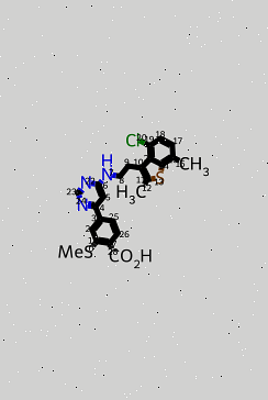 CSc1cc(-c2cc(NCCc3c(C)sc4c(C)ccc(Cl)c34)ncn2)ccc1C(=O)O